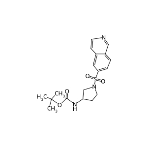 CC(C)(C)OC(=O)NC1CCN(S(=O)(=O)c2ccc3cnccc3c2)C1